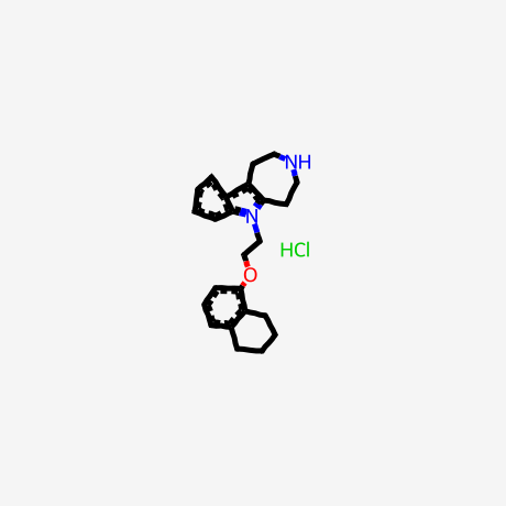 Cl.c1cc2c(c(OCCn3c4c(c5ccccc53)CCNCC4)c1)CCCC2